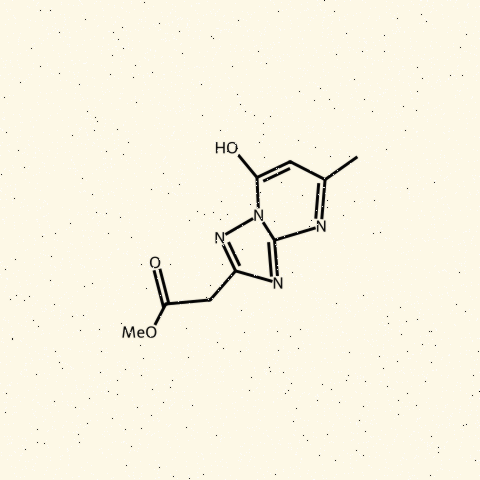 COC(=O)Cc1nc2nc(C)cc(O)n2n1